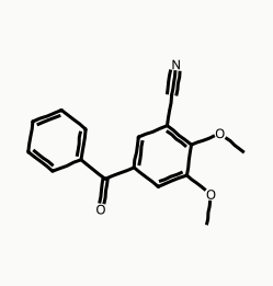 COc1cc(C(=O)c2ccccc2)cc(C#N)c1OC